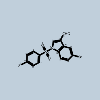 O=Cc1cn(S(=O)(=O)c2ccc(Br)cc2)c2ccc(Br)cc12